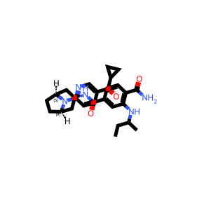 CCC(C)Nc1cc(C(=O)N[C@H]2C[C@H]3CC[C@@H](C2)N3c2ccc(C(=O)C3CC3)cn2)ccc1C(N)=O